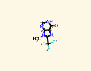 Cn1c(C(F)(F)F)nc2c(=O)[nH]cnc21